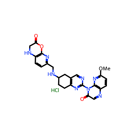 COc1ccc2ncc(=O)n(-c3ncc4c(n3)CCC(NCc3ccc5c(n3)OC(=O)CN5)C4)c2n1.Cl